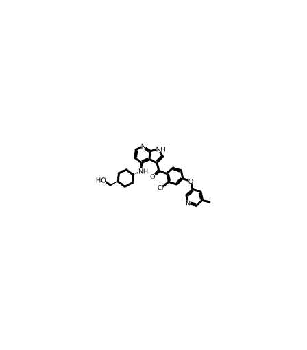 Cc1cncc(Oc2ccc(C(=O)c3c[nH]c4nccc(N[C@H]5CC[C@H](CO)CC5)c34)c(Cl)c2)c1